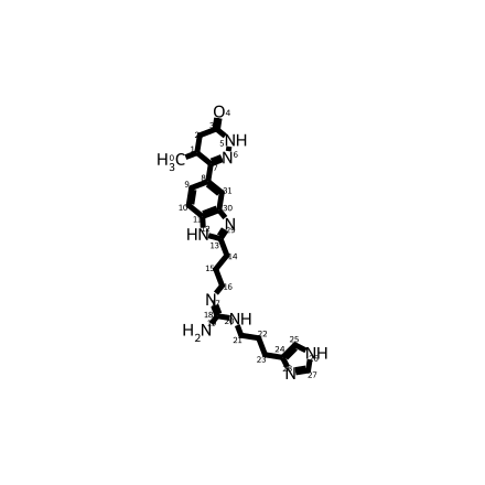 CC1CC(=O)NN=C1c1ccc2[nH]c(CCCN=C(N)NCCCc3c[nH]cn3)nc2c1